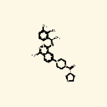 Cc1cccc([C@@H](C)Nc2nnc(C)c3ccc(N4CCN(C(=O)[C@@H]5CCOC5)CC4)cc23)c1C